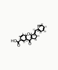 O=C(O)c1ccc2oc3c(c(=O)c2c1)CCC3=Cc1ccccn1